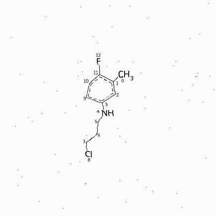 Cc1cc(NCCCCl)ccc1F